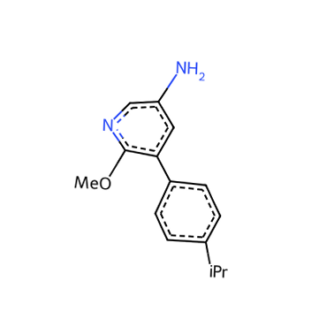 COc1ncc(N)cc1-c1ccc(C(C)C)cc1